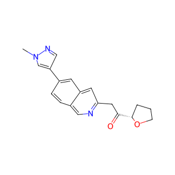 Cn1cc(-c2ccc3cnc(CC(=O)[C@@H]4CCCO4)cc3c2)cn1